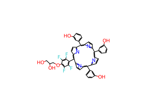 OCC(O)COc1c(F)c(F)c(C2=C3C=CC(=N3)C(c3cccc(O)c3)=C3C=CC(=N3)C(c3cccc(O)c3)=C3C=CC(=N3)C(c3cccc(O)c3)=C3C=CC2=N3)c(F)c1F